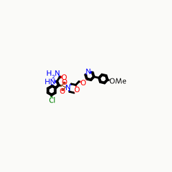 COc1ccc(-c2cncc(OCC3CN(S(=O)(=O)c4c(C(N)=O)[nH]c5ccc(Cl)cc45)CCO3)c2)cc1